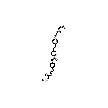 C=CC(=O)OCOc1ccc(CCc2ccc(C(=O)Oc3ccc(OCOC(=O)C=C)cc3)cc2)cc1